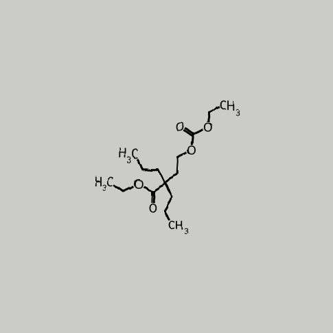 CCCC(CCC)(CCOC(=O)OCC)C(=O)OCC